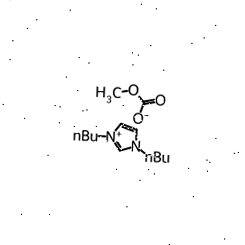 CCCCn1cc[n+](CCCC)c1.COC(=O)[O-]